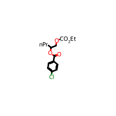 CCCC(COC(=O)OCC)OC(=O)c1ccc(Cl)cc1